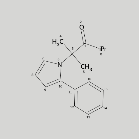 CC(C)C(=O)C(C)(C)n1cccc1-c1ccccc1